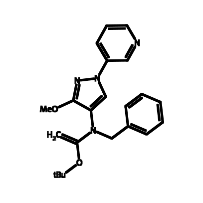 C=C(OC(C)(C)C)N(Cc1ccccc1)c1cn(-c2cccnc2)nc1OC